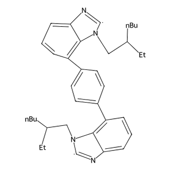 CCCCC(CC)Cn1[c]nc2cccc(-c3ccc(-c4cccc5n[c]n(CC(CC)CCCC)c45)cc3)c21